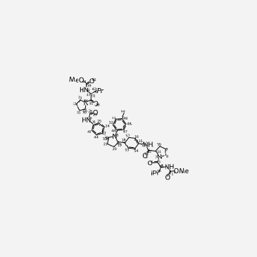 COC(=O)N[C@H](C(=O)N1CCCC1C(=O)NC1=CCC([C@H]2CC[C@H](c3ccc(NC(=O)[C@@H]4CCCN4C(=O)[C@@H](NC(=O)OC)C(C)C)cc3)N2c2ccc(C)cc2)C=C1)C(C)C